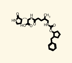 CC(CCC(=O)N[C@@H](C[C@@H]1CCNC1=O)C(=O)O)CNC(=O)OC1CCCC1Cc1ccccc1